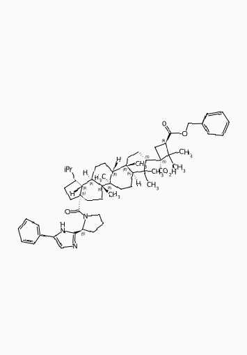 CC(C)C1CC[C@]2(C(=O)N3CCC[C@H]3c3ncc(-c4ccccc4)[nH]3)CC[C@]3(C)[C@H](CC[C@@H]4[C@]5(C)CC[C@H]([C@@]6(C(=O)O)C[C@@H](C(=O)OCc7ccccc7)C6(C)C)C(C)(C)[C@H]5CC[C@]43C)[C@@H]12